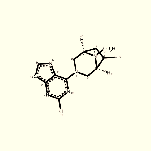 O=C(O)N1[C@@H]2CC(F)[C@H]1CN(c1nc(Cl)nc3scnc13)C2